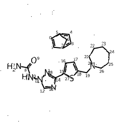 C1=CC2=CC=C1C2.NC(=O)Nn1cnc(-c2ccc(CN3CCCCCC3)s2)n1